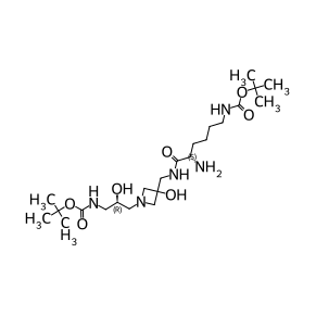 CC(C)(C)OC(=O)NCCCC[C@H](N)C(=O)NCC1(O)CN(C[C@H](O)CNC(=O)OC(C)(C)C)C1